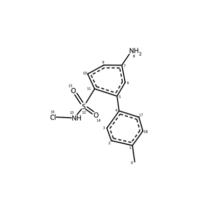 Cc1ccc(-c2cc(N)ccc2S(=O)(=O)NCl)cc1